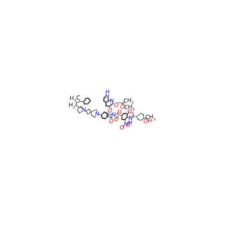 CO[C@@H](C)COc1nc2[nH]ccc2cc1Oc1cc(N2CCC3(CC2)CC(N2CCC[C@@H]2c2ccccc2C(C)C)C3)ccc1C(=O)NS(=O)(=O)c1cc2c(c([N+](=O)[O-])c1)N[C@@H](C1CCC(C)(O)CC1)CO2